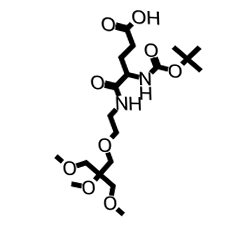 COCC(COC)(COCCNC(=O)C(CCC(=O)O)NC(=O)OC(C)(C)C)OC